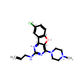 C=CCNc1nc(N2CCN(C)CC2)c2oc3ccc(Cl)cc3c2n1